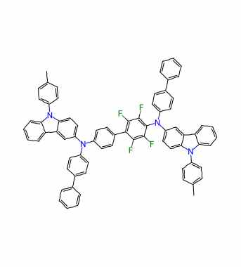 Cc1ccc(-n2c3ccccc3c3cc(N(c4ccc(-c5ccccc5)cc4)c4ccc(-c5c(F)c(F)c(N(c6ccc(-c7ccccc7)cc6)c6ccc7c(c6)c6ccccc6n7-c6ccc(C)cc6)c(F)c5F)cc4)ccc32)cc1